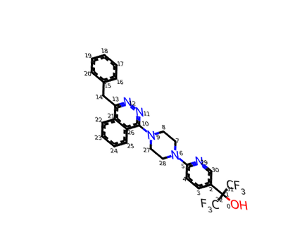 OC(c1ccc(N2CCN(c3nnc(Cc4ccccc4)c4ccccc34)CC2)nc1)(C(F)(F)F)C(F)(F)F